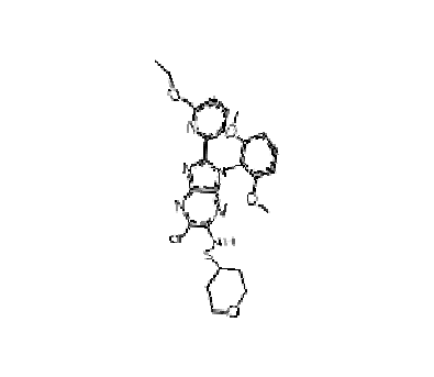 CCOc1cccc(-c2nc3nc(Cl)c(NSC4CCOCC4)nc3n2-c2c(OC)cccc2OC)n1